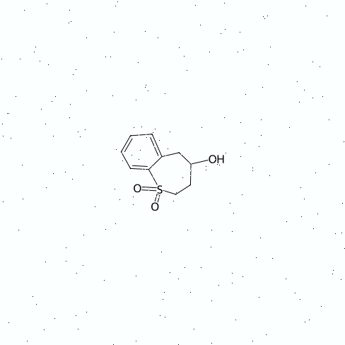 O=S1(=O)CCC(O)Cc2ccccc21